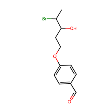 CC(Br)C(O)CCOc1ccc(C=O)cc1